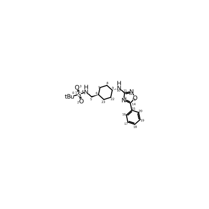 CC(C)(C)S(=O)(=O)NC[C@H]1CC[C@H](Nc2noc(-c3ccccc3)n2)CC1